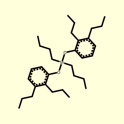 CCC[CH2][Sn]([CH2]CCC)([O]c1cccc(CCC)c1CCC)[O]c1cccc(CCC)c1CCC